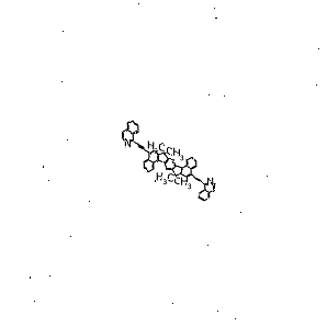 CC1(C)c2cc3c(cc2-c2c1cc(C#Cc1nccc4ccccc14)c1ccccc21)C(C)(C)c1cc(C#Cc2nccc4ccccc24)c2ccccc2c1-3